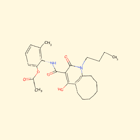 CCCCn1c2c(c(O)c(C(=O)Nc3c(C)cccc3OC(C)=O)c1=O)CCCCCC2